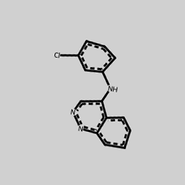 Clc1cccc(Nc2cnnc3ccccc23)c1